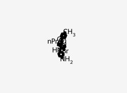 CCCc1cc2c(NC3CCC(N)CC3)c(Br)cnc2n1S(=O)(=O)c1ccc(C)cc1